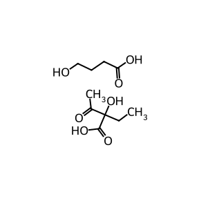 CCC(O)(C(C)=O)C(=O)O.O=C(O)CCCO